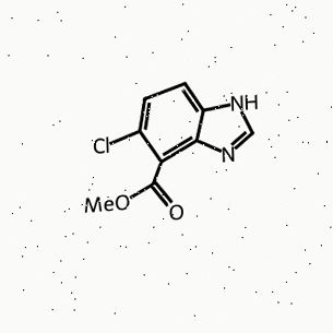 COC(=O)c1c(Cl)ccc2[nH]cnc12